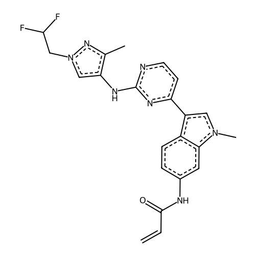 C=CC(=O)Nc1ccc2c(-c3ccnc(Nc4cn(CC(F)F)nc4C)n3)cn(C)c2c1